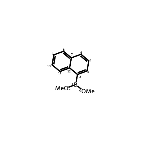 COB(OC)c1cccc2ccccc12